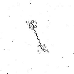 CC(C)(C)COC(=O)CCCCCCCCCCC(=O)OCC(C)(C)C